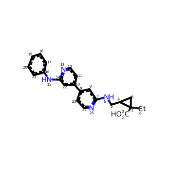 CCC1(C(=O)O)CC1CNc1cc(-c2ccnc(Nc3ccccc3)c2)ccn1